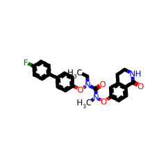 CCN(Oc1ccc(-c2ccc(F)cc2)cc1)C(=O)N(C)Oc1ccc2c(c1)CCNC2=O